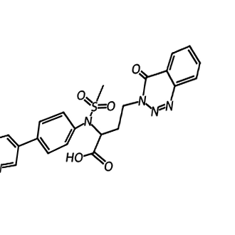 CS(=O)(=O)N(c1ccc(-c2cncnc2)cc1)C(CCn1nnc2ccccc2c1=O)C(=O)O